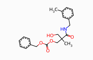 Cc1cccc(CNC(=O)C(C)(CO)COC(=O)OCc2ccccc2)c1